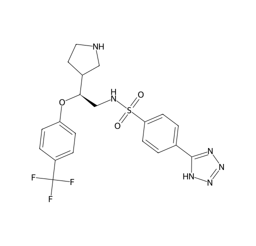 O=S(=O)(NC[C@@H](Oc1ccc(C(F)(F)F)cc1)C1CCNC1)c1ccc(-c2nnn[nH]2)cc1